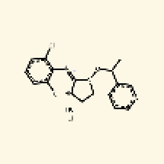 CC(ON1CCN/C1=N\c1c(Cl)cccc1Cl)c1cccnc1.Cl.Cl